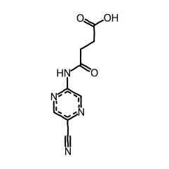 N#Cc1cnc(NC(=O)CCC(=O)O)cn1